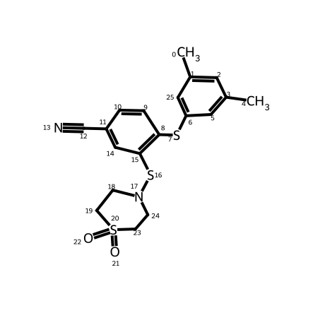 Cc1cc(C)cc(Sc2ccc(C#N)cc2SN2CCS(=O)(=O)CC2)c1